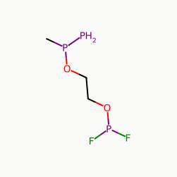 CP(P)OCCOP(F)F